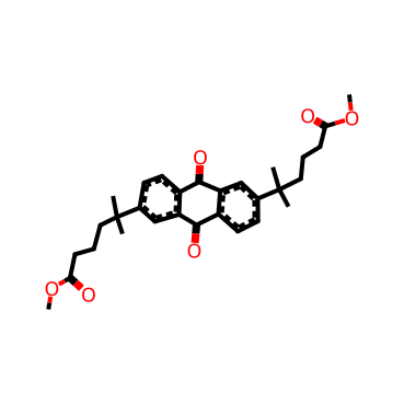 COC(=O)CCCC(C)(C)c1ccc2c(c1)C(=O)c1ccc(C(C)(C)CCCC(=O)OC)cc1C2=O